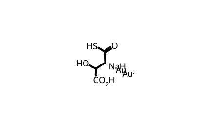 O=C(S)CC(O)C(=O)O.[Au].[Au].[NaH]